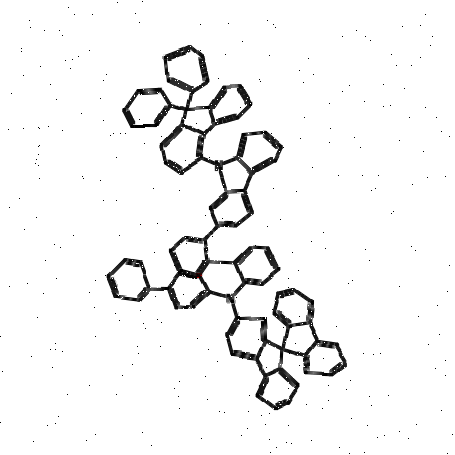 c1ccc(-c2ccc(N(c3ccc4c(c3)C3(c5ccccc5-c5ccccc53)c3ccccc3-4)c3ccccc3-c3ccccc3-c3ccc4c5ccccc5n(-c5cccc6c5-c5ccccc5C6(c5ccccc5)c5ccccc5)c4c3)cc2)cc1